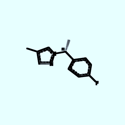 Cc1cnn([C@H](C)c2ccc(F)cc2)c1